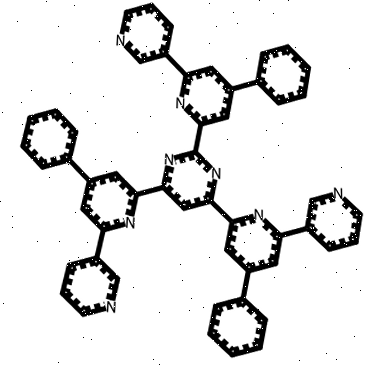 c1ccc(-c2cc(-c3cccnc3)nc(-c3cc(-c4cc(-c5ccccc5)cc(-c5cccnc5)n4)nc(-c4cc(-c5ccccc5)cc(-c5cccnc5)n4)n3)c2)cc1